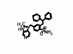 CC1Nc2cnccc2N1Cc1ccc(S(N)(=O)=O)c(CC(c2ccccc2)c2ccccc2)c1